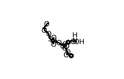 COCCC(C)(C)OC#COCCSC1CC(=O)N(CCOCCOP(=O)(OCCOC(=O)c2ccccc2)Oc2ccc(CONO)cc2)C1=O